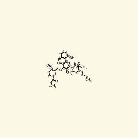 C=CC(=O)N1CCN(C=O)C(COc2c(C)c(N3CCN(CCOC)C(C)(C)C3)nc(-c3c(O)cccc3F)c2Cl)C1